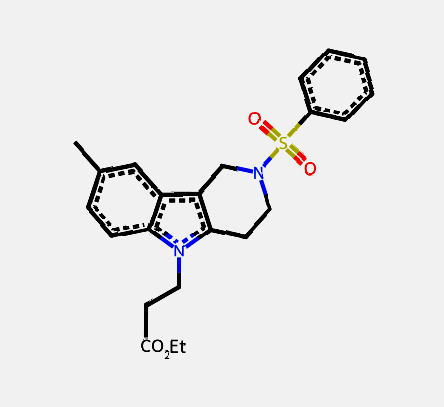 CCOC(=O)CCn1c2c(c3cc(C)ccc31)CN(S(=O)(=O)c1ccccc1)CC2